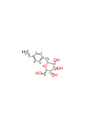 C=Cc1ccc(OC2O[C@H](CO)[C@@H](O)[C@H](O)[C@H]2O)cc1